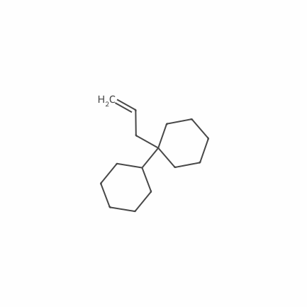 C=CCC1(C2CCCCC2)CCCCC1